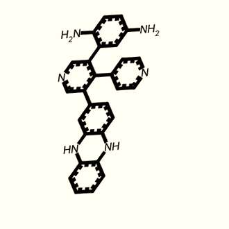 Nc1ccc(N)c(-c2cncc(-c3ccc4c(c3)Nc3ccccc3N4)c2-c2ccncc2)c1